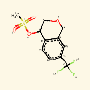 CS(=O)(=O)OC1COCc2cc(C(F)(F)F)ccc21